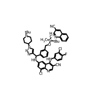 CC(C)(C)N1CCC(n2cc(C(Nc3cc(Cl)c4ncc(C#N)c(Nc5ccc(F)c(Cl)c5)c4c3)c3cccc(CO[Si](C)(C)C(C)(C)C)c3)nn2)CC1.N#Cc1cnc2ccccc2c1